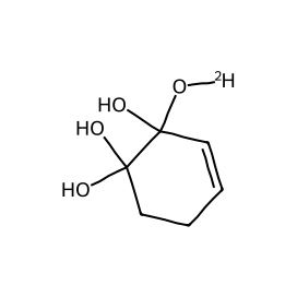 [2H]OC1(O)C=CCCC1(O)O